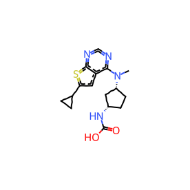 CN(c1ncnc2sc(C3CC3)cc12)[C@@H]1CC[C@H](NC(=O)O)C1